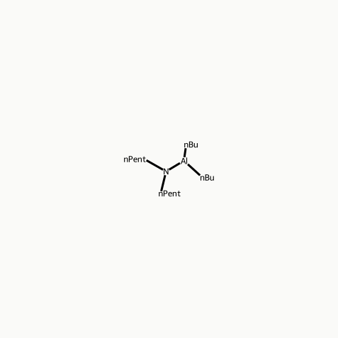 CCCCC[N](CCCCC)[Al]([CH2]CCC)[CH2]CCC